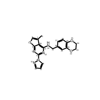 Cc1csc2nc(-n3cccn3)nc(NCc3ccc4c(c3)OCCO4)c12